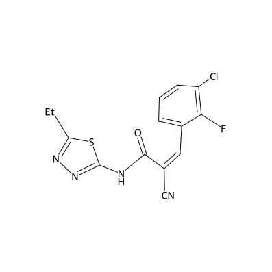 CCc1nnc(NC(=O)C(C#N)=Cc2cccc(Cl)c2F)s1